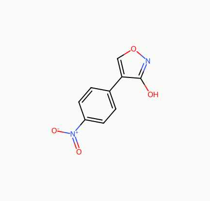 O=[N+]([O-])c1ccc(-c2conc2O)cc1